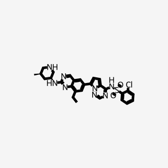 CCc1cc(-c2ccc3c(NS(=O)(=O)c4ccccc4Cl)ncnn23)cc2cnc(N[C@@H]3CNC[C@H](C)C3)nc12